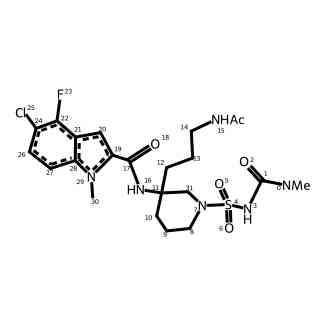 CNC(=O)NS(=O)(=O)N1CCCC(CCCNC(C)=O)(NC(=O)c2cc3c(F)c(Cl)ccc3n2C)C1